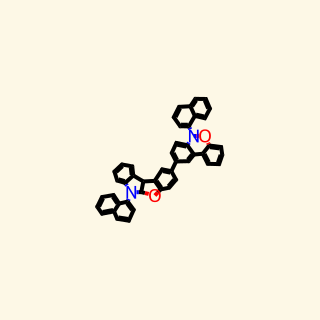 c1ccc2c(c1)ON(c1cccc3ccccc13)c1ccc(-c3ccc4c(c3)C3c5ccccc5N(c5cccc6ccccc56)C3O4)cc1-2